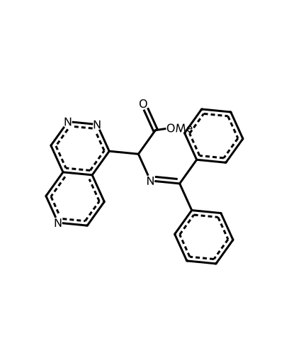 COC(=O)C(N=C(c1ccccc1)c1ccccc1)c1nncc2cnccc12